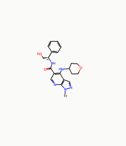 CCn1ncc2c(NC3CCOCC3)c(C(=O)N[C@@H](CO)c3ccccc3)cnc21